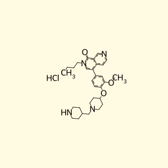 CCCCn1cc(-c2ccc(OC3CCN(CC4CCNCC4)CC3)c(OC)c2)c2ccncc2c1=O.Cl